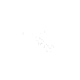 COC(=O)c1cc(OC)c2c(c1)nc(-c1cc3cccc4c3n1CCN4)n2CC1CC1